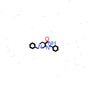 O=c1[nH]c(-c2ccccc2)nc2c1CCN(Cc1ccccc1)C2